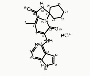 Cc1cc(Nc2ncnc3[nH]ccc23)c(=O)n2c1C(=O)NC21CCCCC1.Cl